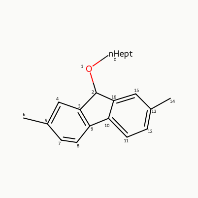 CCCCCCCOC1c2cc(C)ccc2-c2ccc(C)cc21